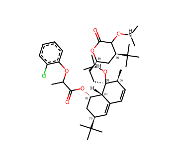 CC(Oc1ccccc1Cl)C(=O)O[C@H]1C[C@H](C(C)(C)C)C=C2C=C[C@H](C)[C@](CC[C@@H]3C[C@H](C(C)(C)C)C(O[SiH](C)C)C(=O)O3)(O[SiH](C)C)[C@H]21